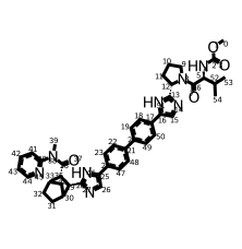 COC(=O)N[C@H](C(=O)N1CCC[C@H]1c1ncc(-c2ccc(-c3ccc(-c4cnc([C@H]5C6CCC(C6)[C@@H]5C(=O)N(C)c5ccccn5)[nH]4)cc3)cc2)[nH]1)C(C)C